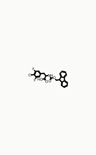 O=C(NC(Cc1cc(F)c(Cl)c(F)c1)C(=O)O)OCC1c2ccccc2-c2ccccc21